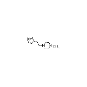 CN1CCN(C[CH]n2ccnc2)CC1